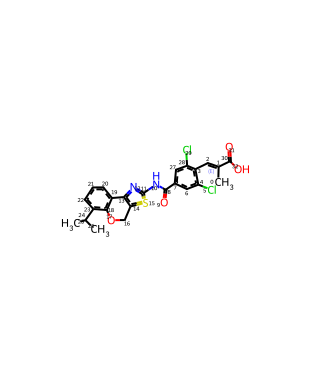 C/C(=C\c1c(Cl)cc(C(=O)Nc2nc3c(s2)COc2c-3cccc2C(C)C)cc1Cl)C(=O)O